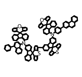 c1ccc(-c2ccc(N(c3ccc4c(c3)-c3ccccc3C43c4ccccc4Sc4c(-c5ccc6c(c5)-c5cc(N(c7ccc(-c8ccc9c(ccc%10ccccc%109)c8)cc7)c7cccc8c7-c7ccccc7C87c8ccccc8Oc8ccccc87)ccc5C65c6ccccc6Sc6ccccc65)cccc43)c3cccc4c3-c3ccccc3C43c4ccccc4Oc4ccccc43)c3ccccc23)cc1